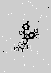 COc1cc2c(CC(=O)NC(C)C(=O)O)c(C)n(C(=O)c3ccc(C)cc3)c2cc1Cl